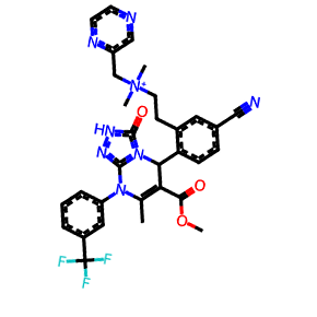 COC(=O)C1=C(C)N(c2cccc(C(F)(F)F)c2)c2n[nH]c(=O)n2C1c1ccc(C#N)cc1CC[N+](C)(C)Cc1cnccn1